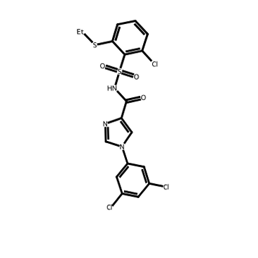 CCSc1cccc(Cl)c1S(=O)(=O)NC(=O)c1cn(-c2cc(Cl)cc(Cl)c2)cn1